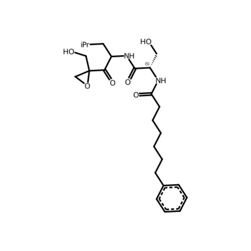 CC(C)CC(NC(=O)[C@H](CO)NC(=O)CCCCCCc1ccccc1)C(=O)C1(CO)CO1